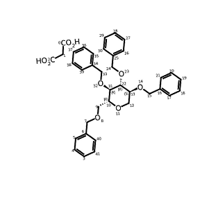 O=C(O)CC(=O)O.c1ccc(COC[C@H]2OC[C@H](OCc3ccccc3)[C@@H](OCc3ccccc3)[C@@H]2OCc2ccccc2)cc1